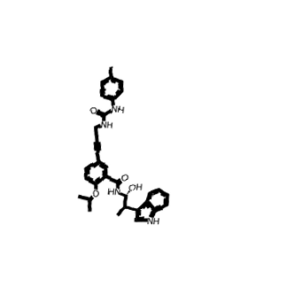 Cc1ccc(NC(=O)NCC#Cc2ccc(OC(C)C)c(C(=O)N[C@H](O)C(C)c3c[nH]c4ccccc34)c2)cc1